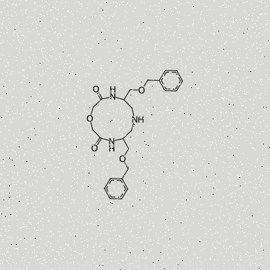 O=C1COCC(=O)NC(COCc2ccccc2)CNCC(COCc2ccccc2)N1